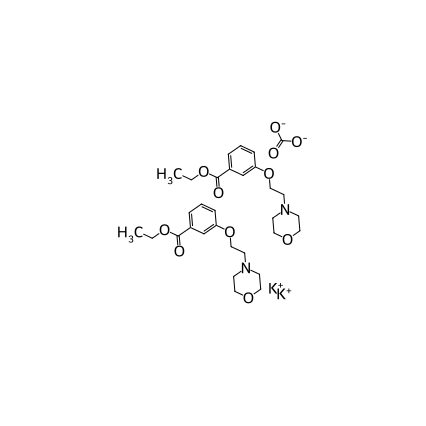 CCOC(=O)c1cccc(OCCN2CCOCC2)c1.CCOC(=O)c1cccc(OCCN2CCOCC2)c1.O=C([O-])[O-].[K+].[K+]